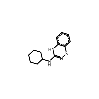 c1ccc2c(c1)NC(NC1CCCCC1)=NS2